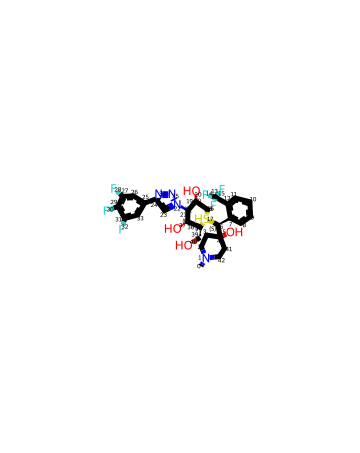 CN1CCC(O)([C@H](c2ccccc2C(F)(F)F)[SH]2C[C@H](O)[C@H](n3cc(-c4cc(F)c(F)c(F)c4)nn3)[C@@H](O)[C@H]2CO)CC1